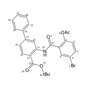 CC(=O)Oc1ccc(Br)cc1C(=O)Nc1cc(-c2ccccc2)ccc1C(=O)OC(C)(C)C